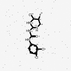 O=C(Nc1ccc(Cl)c(Cl)c1)NC1NCC(F)C(Cl)N1